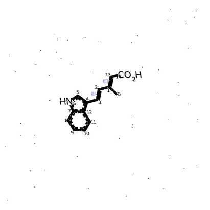 CC(/C=C/c1c[nH]c2ccccc12)=C\C(=O)O